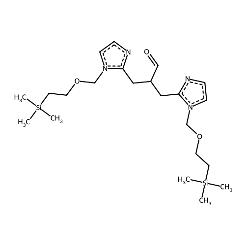 C[Si](C)(C)CCOCn1ccnc1CC(C=O)Cc1nccn1COCC[Si](C)(C)C